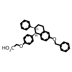 O=C(O)COc1ccc([C@@H]2c3ccc(OCc4ccccc4)cc3CC[C@@H]2c2ccccc2)cc1